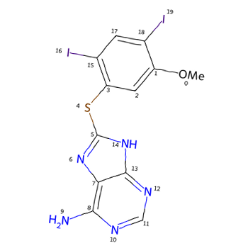 COc1cc(Sc2nc3c(N)ncnc3[nH]2)c(I)cc1I